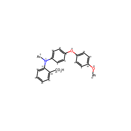 CC(=O)N(c1ccc(Oc2ccc(OC(C)C)cc2)cc1)c1ccccc1C(=O)O